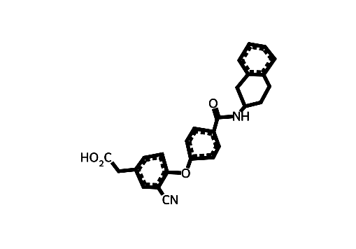 N#Cc1cc(CC(=O)O)ccc1Oc1ccc(C(=O)NC2CCc3ccccc3C2)cc1